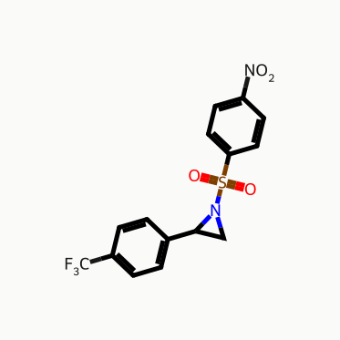 O=[N+]([O-])c1ccc(S(=O)(=O)N2CC2c2ccc(C(F)(F)F)cc2)cc1